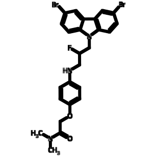 CN(C)C(=O)COc1ccc(NCC(F)Cn2c3ccc(Br)cc3c3cc(Br)ccc32)cc1